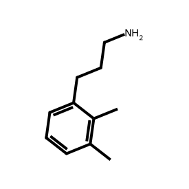 Cc1cccc(CCCN)c1C